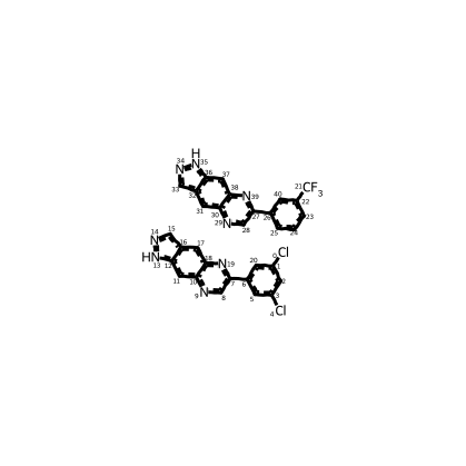 Clc1cc(Cl)cc(-c2cnc3cc4[nH]ncc4cc3n2)c1.FC(F)(F)c1cccc(-c2cnc3cc4cn[nH]c4cc3n2)c1